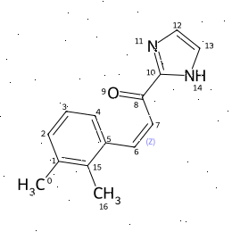 Cc1cccc(/C=C\C(=O)c2ncc[nH]2)c1C